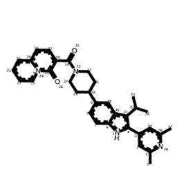 Cc1cc(-c2[nH]c3ccc(C4CCN(C(=O)c5ccc6ccccn6c5=O)CC4)cc3c2C(C)C)cc(C)n1